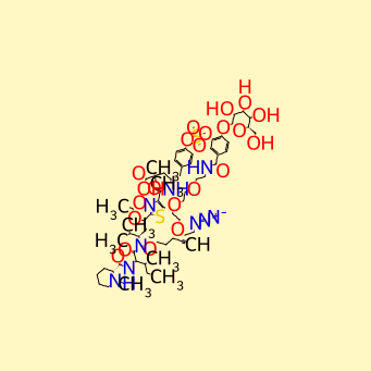 C#CCCCON(C(=O)[C@@H](NC(=O)[C@H]1CCCCN1C)[C@@H](C)CC)[C@H](C[C@@H](OC(C)=O)c1nc(C(=O)N[C@@H](Cc2ccc(OS(=O)(=O)Oc3cc(C(=O)NCCOCCOCCOCCN=[N+]=[N-])ccc3O[C@@H]3O[C@H](CO)[C@H](O)[C@H](O)[C@H]3O)cc2)CC(C)(C)C(=O)O)cs1)C(C)C